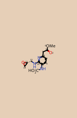 COC(=O)Cc1ccc(NC(=O)O)c(NC[C@@H]2CO2)n1